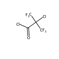 O=C(Cl)C(Cl)(C(F)(F)F)C(F)(F)F